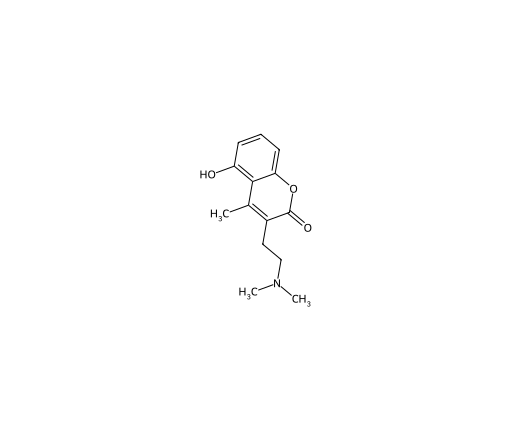 Cc1c(CCN(C)C)c(=O)oc2cccc(O)c12